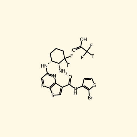 N[C@@H]1[C@H](Nc2cnc3scc(C(=O)Nc4ccsc4Br)c3n2)CCCC1(F)F.O=C(O)C(F)(F)F